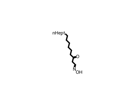 CCCCCCCCCCCCCC(=O)CC=NO